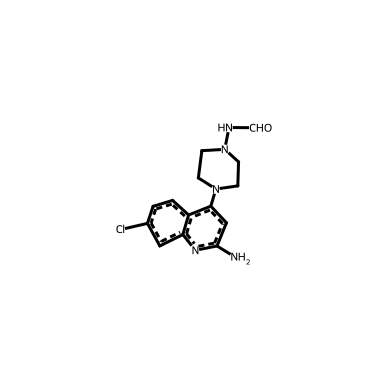 Nc1cc(N2CCN(NC=O)CC2)c2ccc(Cl)cc2n1